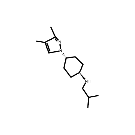 Cc1cn([C@H]2CC[C@H](NCC(C)C)CC2)nc1C